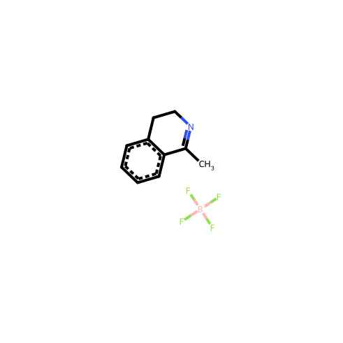 CC1=NCCc2ccccc21.F[B-](F)(F)F